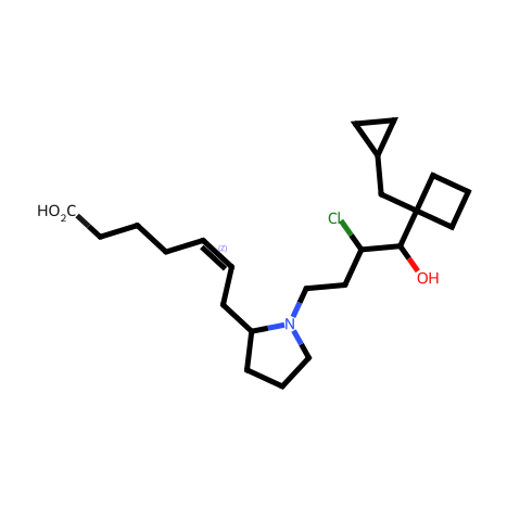 O=C(O)CCC/C=C\CC1CCCN1CCC(Cl)C(O)C1(CC2CC2)CCC1